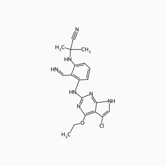 CCOc1nc(Nc2cccc(NC(C)(C)C#N)c2C=N)nc2[nH]cc(Cl)c12